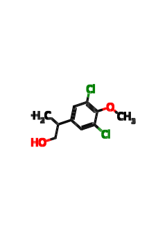 [CH2]C(CO)c1cc(Cl)c(OC)c(Cl)c1